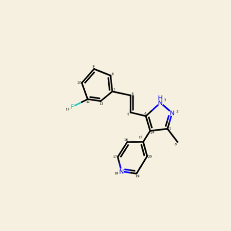 Cc1n[nH]c(/C=C/c2cccc(F)c2)c1-c1ccncc1